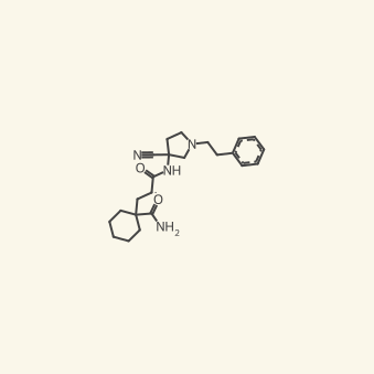 N#CC1(NC(=O)[CH]CC2(C(N)=O)CCCCC2)CCN(CCc2ccccc2)C1